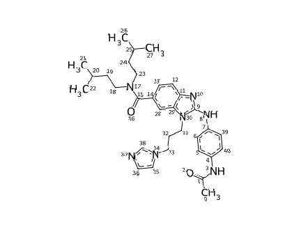 CC(=O)Nc1ccc(Nc2nc3ccc(C(=O)N(CCC(C)C)CCC(C)C)cc3n2CCCn2ccnc2)cc1